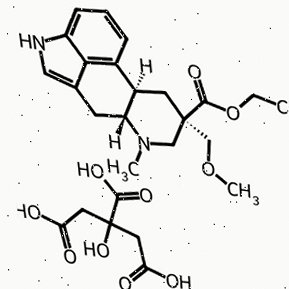 CCOC(=O)[C@]1(COC)C[C@@H]2c3cccc4[nH]cc(c34)C[C@H]2N(C)C1.O=C(O)CC(O)(CC(=O)O)C(=O)O